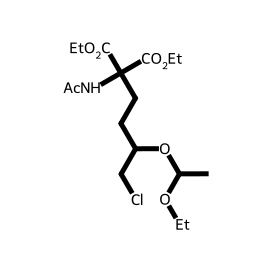 CCOC(=O)C(CCC(CCl)OC(C)OCC)(NC(C)=O)C(=O)OCC